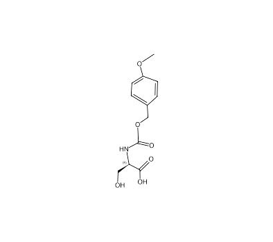 COc1ccc(COC(=O)N[C@H](CO)C(=O)O)cc1